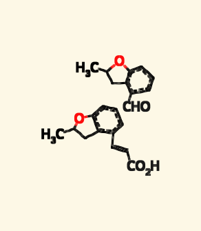 CC1Cc2c(/C=C/C(=O)O)cccc2O1.CC1Cc2c(C=O)cccc2O1